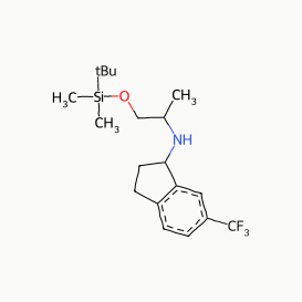 CC(CO[Si](C)(C)C(C)(C)C)NC1CCc2ccc(C(F)(F)F)cc21